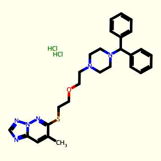 Cc1cc2ncnn2nc1SCCOCCN1CCN(C(c2ccccc2)c2ccccc2)CC1.Cl.Cl